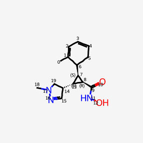 CC1=CC=CCC1[C@H]1[C@@H](C(=O)NO)[C@@H]1C1C=NN(C)C1